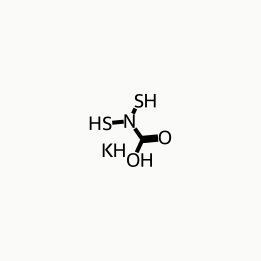 O=C(O)N(S)S.[KH]